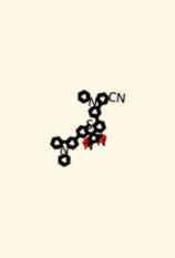 N#Cc1ccc2c(c1)c1cc(-c3cccc4c3Sc3ccc(-c5ccc6c(c5)c5ccccc5n6-c5ccccc5)cc3C43c4cccnc4-c4ncccc43)ccc1n2-c1ccccc1